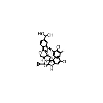 O=C1Nc2cc(Cl)ccc2[C@@]12[C@@H](c1ccc(F)c(Cl)c1F)[C@H]1[C@H](COc3c4ccc(C(O)O)cc4nn31)N2CC1CC1